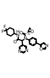 O=C(NC1CCC(F)(F)CC1)C(c1cncnc1)N(C(=O)[C@@H]1CO1)c1ccc(-c2cnco2)cc1